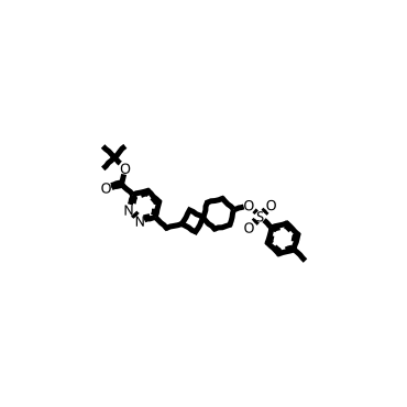 Cc1ccc(S(=O)(=O)OC2CCC3(CC2)CC(Cc2ccc(C(=O)OC(C)(C)C)nn2)C3)cc1